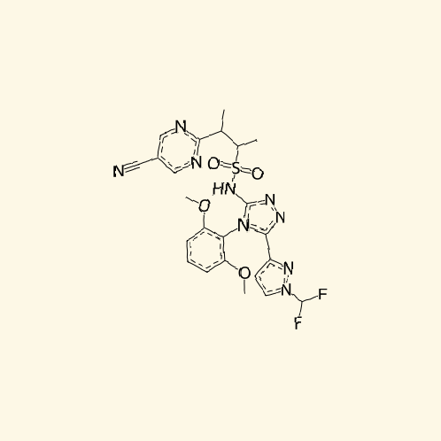 COc1cccc(OC)c1-n1c(NS(=O)(=O)C(C)C(C)c2ncc(C#N)cn2)nnc1-c1ccn(C(F)F)n1